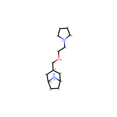 C1CCN(CCOCC2CC3CCC(C2)N3)C1